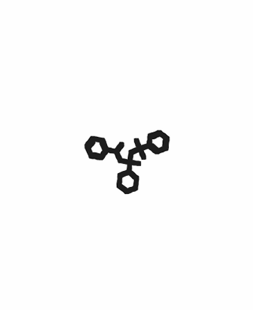 CC(CC(C)(CC(C)(C)c1ccccc1)C1CCCCC1)c1ccccc1